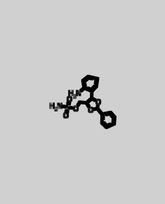 Nc1ccccc1C1OC(c2ccccc2)OC1COS(N)(=O)=O